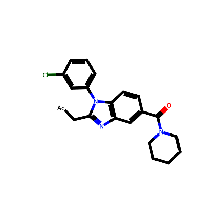 CC(=O)Cc1nc2cc(C(=O)N3CCCCC3)ccc2n1-c1cccc(Cl)c1